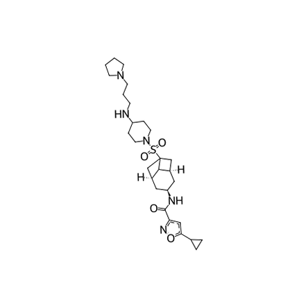 O=C(N[C@@H]1C[C@@H]2CC3(S(=O)(=O)N4CCC(NCCCN5CCCC5)CC4)C[C@H](C1)C23)c1cc(C2CC2)on1